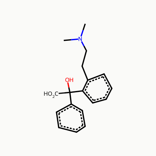 CN(C)CCc1ccccc1C(O)(C(=O)O)c1ccccc1